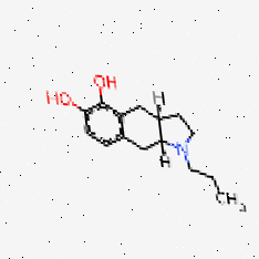 CCCN1CC[C@H]2Cc3c(ccc(O)c3O)C[C@H]21